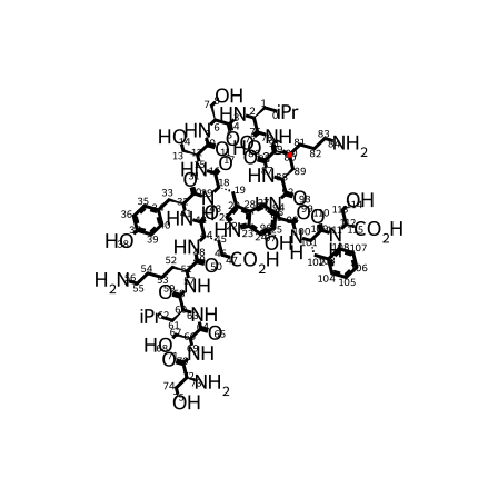 CC(C)C[C@H](NC(=O)[C@H](CO)NC(=O)[C@H](CO)NC(=O)[C@H](Cc1c[nH]c2ccccc12)NC(=O)[C@H](Cc1ccc(O)cc1)NC(=O)[C@H](CCC(=O)O)NC(=O)[C@H](CCCCN)NC(=O)[C@H](CC(C)C)NC(=O)[C@H](CO)NC(=O)[C@@H](N)CO)C(=O)N[C@@H](CCCCN)C(=O)N[C@@H](CCC(=O)O)C(=O)N[C@@H](CO)C(=O)N[C@@H](Cc1ccccc1)C(=O)N[C@@H](CO)C(=O)O